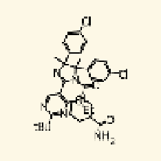 CCOc1nc(C(C)(C)C)ncc1C1=NC(C)(c2ccc(Cl)cc2)C(C)(c2ccc(Cl)cc2)N1C(=O)N1CCCC(C(N)=O)C1